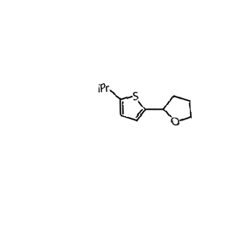 CC(C)c1ccc(C2CCCO2)s1